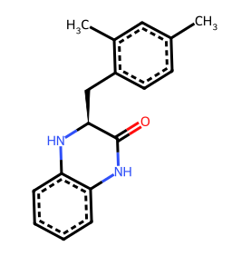 Cc1ccc(C[C@@H]2Nc3ccccc3NC2=O)c(C)c1